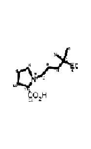 CCC(C)(C)CCCN1CCC[C@H]1C(=O)O